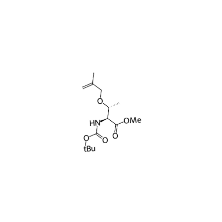 C=C(C)CO[C@H](C)[C@H](NC(=O)OC(C)(C)C)C(=O)OC